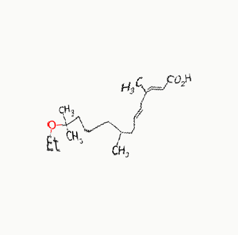 CCOC(C)(C)CCCC(C)C/C=C/C(C)=C/C(=O)O